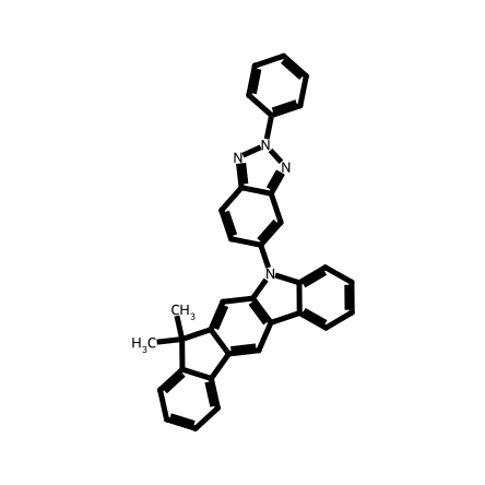 CC1(C)c2ccccc2-c2cc3c4ccccc4n(-c4ccc5nn(-c6ccccc6)nc5c4)c3cc21